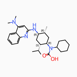 CC(C)[C@@H]1C[C@@H](Nc2cc(N(C)C)c3ccccc3n2)[C@H](C)C[C@H]1N(C(=O)O)C1CCCCC1